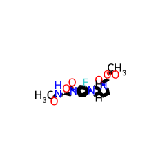 CC(=O)NC[C@H]1CN(c2ccc(N3C[C@H]4CCCN(C(=O)COC(C)=O)[C@H]4C3)c(F)c2)C(=O)O1